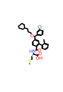 CSCC[C@H](NC(=O)c1ccc(C(OCCCC2CCCCC2)c2cccc(Cl)c2)cc1-c1ccccc1C)C(=O)O